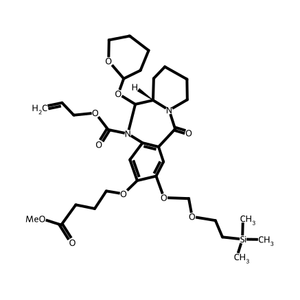 C=CCOC(=O)N1c2cc(OCCCC(=O)OC)c(OCOCC[Si](C)(C)C)cc2C(=O)N2CCCC[C@H]2C1OC1CCCCO1